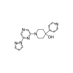 OC1(c2ccncc2)CCN(c2cncc(-n3cccn3)n2)CC1